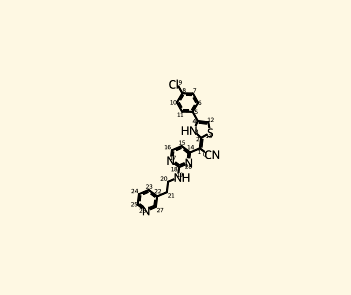 N#C/C(=C1/NC(c2ccc(Cl)cc2)=CS1)c1ccnc(NCCc2cccnc2)n1